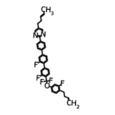 C=CCCc1ccc(OC(F)(F)c2ccc(-c3ccc(-c4ccc(-c5ncc(CC/C=C/C)cn5)cc4)cc3F)cc2F)cc1F